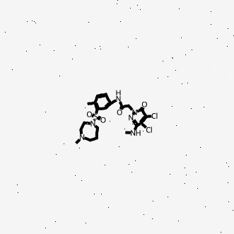 CNc1nn(CC(=O)Nc2ccc(C)c(S(=O)(=O)N3CCCN(C)CC3)c2)c(=O)c(Cl)c1Cl